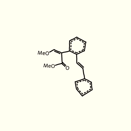 CO/C=C(\C(=O)OC)c1ccccc1C=Cc1ccccc1